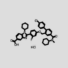 CN(C(=O)c1ccc(-c2ccc(Cl)cc2)c(COc2ccc(-c3nc4cc(C(=O)O)ccc4n3C3CCCCC3)c(F)c2)c1)C1CCCCC1.Cl